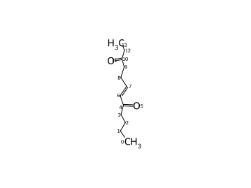 CCCCC(=O)C=CCCC(=O)CC